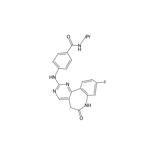 CC(C)NC(=O)c1ccc(Nc2ncc3c(n2)-c2ccc(I)cc2NC(=O)C3)cc1